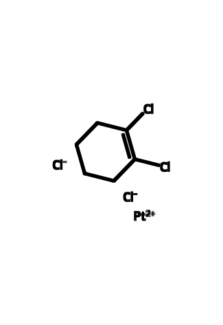 ClC1=C(Cl)CCCC1.[Cl-].[Cl-].[Pt+2]